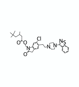 CC(CC(=O)OCN1C(=O)Cc2cc(CCN3CCN(c4nsc5ccccc45)CC3)c(Cl)cc21)CC(C)(C)C